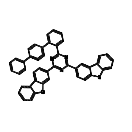 C1=C=C(c2ccccc2-c2nc(-c3ccc4c(c3)oc3ccccc34)nc(-c3ccc4sc5ccccc5c4c3)n2)C=CC=1c1ccccc1